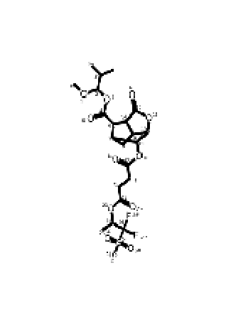 COC(OC(=O)C1C2CC3C(OC(=O)C31)C2OC(=O)CCC(=O)OC(C)C(F)(F)S(=O)(=O)O)C(C)C